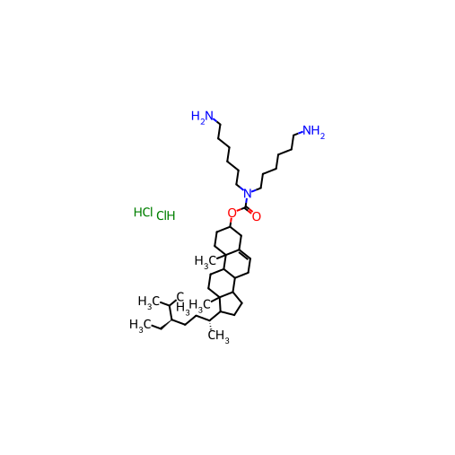 CC[C@H](CC[C@@H](C)C1CCC2C3CC=C4CC(OC(=O)N(CCCCCCN)CCCCCCN)CCC4(C)C3CCC21C)C(C)C.Cl.Cl